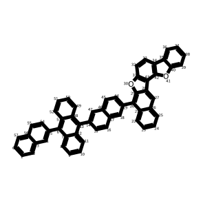 c1ccc2cc(-c3c4ccccc4c(-c4ccc5cc(-c6c7ccccc7cc7c6oc6ccc8c9ccccc9oc8c67)ccc5c4)c4ccccc34)ccc2c1